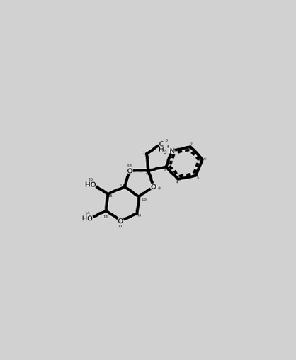 CCC1(c2ccccn2)OC2COC(O)C(O)C2O1